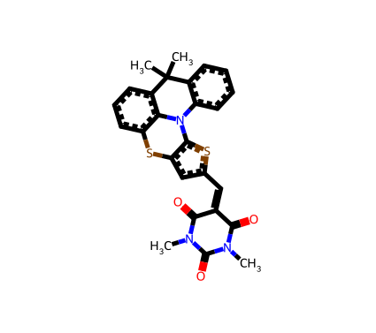 CN1C(=O)C(=Cc2cc3c(s2)N2c4ccccc4C(C)(C)c4cccc(c42)S3)C(=O)N(C)C1=O